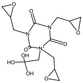 O=C1N(CC2CO2)C(=O)[N+](CC2CO2)(CC(O)(O)O)C(=O)N1CC1CO1